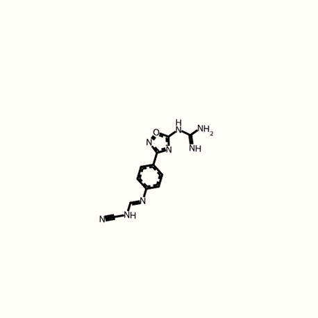 N#CN/C=N/c1ccc(-c2noc(NC(=N)N)n2)cc1